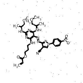 C=CC(=O)OCCCNc1nc(NC(C)COC)nc(NC(C)COC)c1N=Nc1nn(-c2ccc([N+](=O)[O-])cc2)cc1C#N